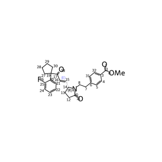 COC(=O)c1ccc(CCN2C(=O)CC[C@@H]2/C=C/C(=O)C2(c3ccccc3F)CCCC2)cc1